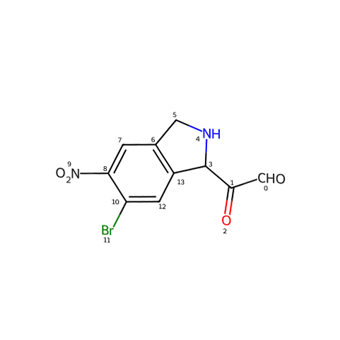 O=CC(=O)C1NCc2cc([N+](=O)[O-])c(Br)cc21